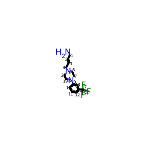 NCC=CCN1CCN(c2cccc(C(F)(F)F)c2)CC1